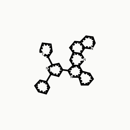 c1ccc(-c2cc(-c3nc4ccccc4c4nc5c(ccc6cccnc65)cc34)cc(-c3ccccc3)n2)cc1